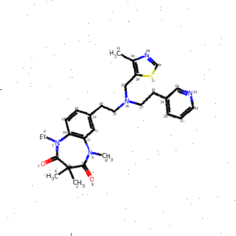 CCN1C(=O)C(C)(C)C(=O)N(C)c2cc(CCN(CCc3cccnc3)Cc3scnc3C)ccc21